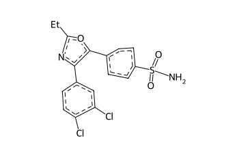 CCc1nc(-c2ccc(Cl)c(Cl)c2)c(-c2ccc(S(N)(=O)=O)cc2)o1